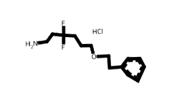 Cl.NCCC(F)(F)CCCOCCc1ccccc1